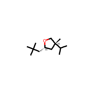 CC(C)[C@@]1(C)CO[C@@H](CC(C)(C)C)C1